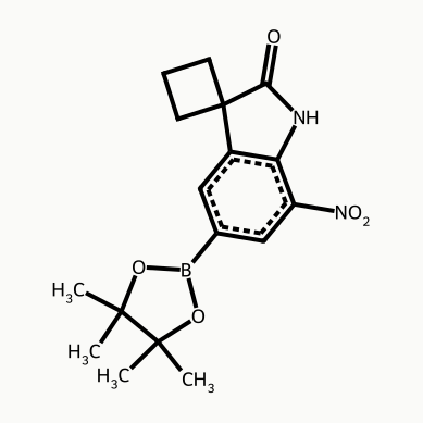 CC1(C)OB(c2cc([N+](=O)[O-])c3c(c2)C2(CCC2)C(=O)N3)OC1(C)C